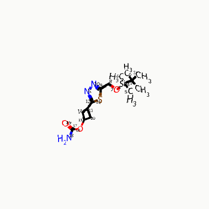 CC(C)(C)[Si](C)(C)OCc1nnc(C2CC(OC(N)=O)C2)s1